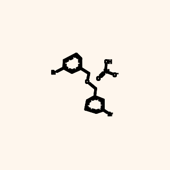 Brc1cccc(COCc2cccc(Br)c2)c1.O=[N+]([O-])O